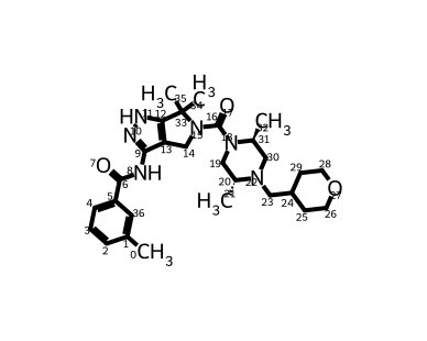 Cc1cccc(C(=O)Nc2n[nH]c3c2CN(C(=O)N2C[C@@H](C)N(CC4CCOCC4)C[C@@H]2C)C3(C)C)c1